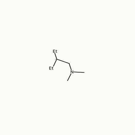 CC[C](CC)CN(C)C